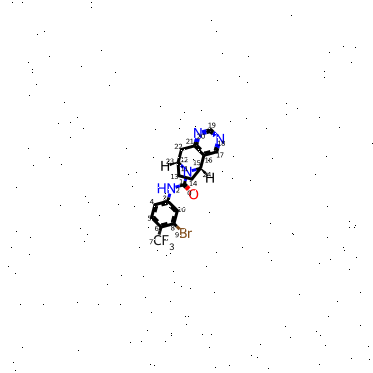 O=C(Nc1ccc(C(F)(F)F)c(Br)c1)N1[C@@H]2CC[C@H]1c1cncnc1C2